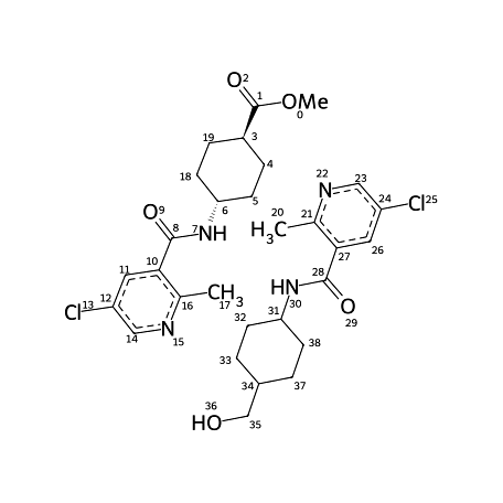 COC(=O)[C@H]1CC[C@H](NC(=O)c2cc(Cl)cnc2C)CC1.Cc1ncc(Cl)cc1C(=O)NC1CCC(CO)CC1